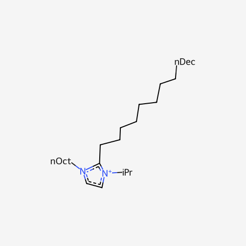 CCCCCCCCCCCCCCCCCCc1n(CCCCCCCC)cc[n+]1C(C)C